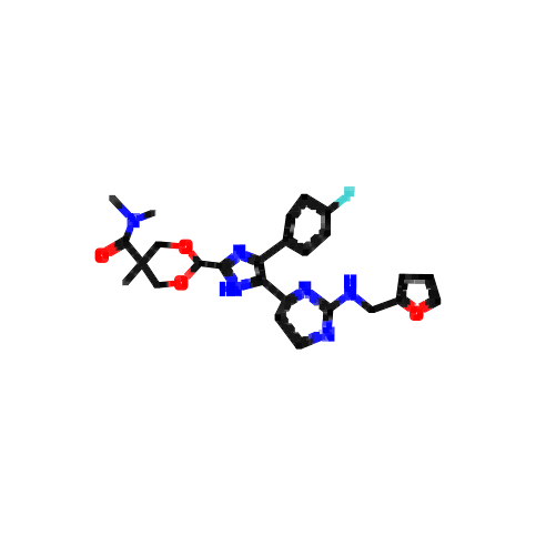 CN(C)C(=O)C1(C)COC(c2nc(-c3ccc(F)cc3)c(-c3ccnc(NCc4ccco4)n3)[nH]2)OC1